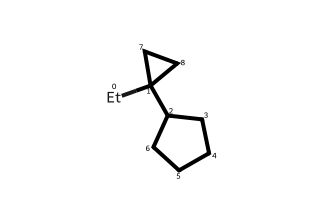 CCC1(C2CCCC2)CC1